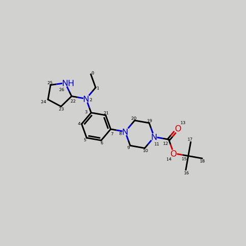 CCN(c1cccc(N2CCN(C(=O)OC(C)(C)C)CC2)c1)C1CCCN1